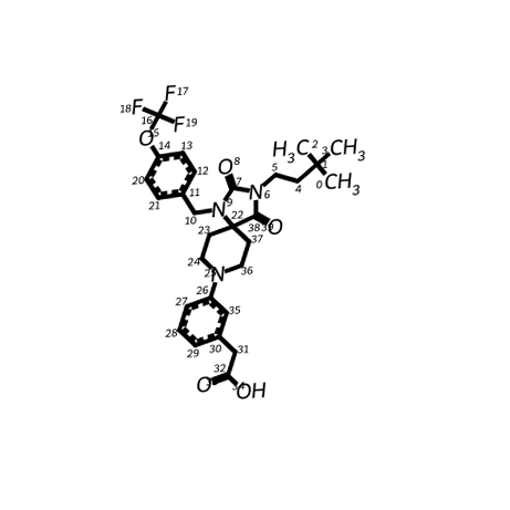 CC(C)(C)CCN1C(=O)N(Cc2ccc(OC(F)(F)F)cc2)C2(CCN(c3cccc(CC(=O)O)c3)CC2)C1=O